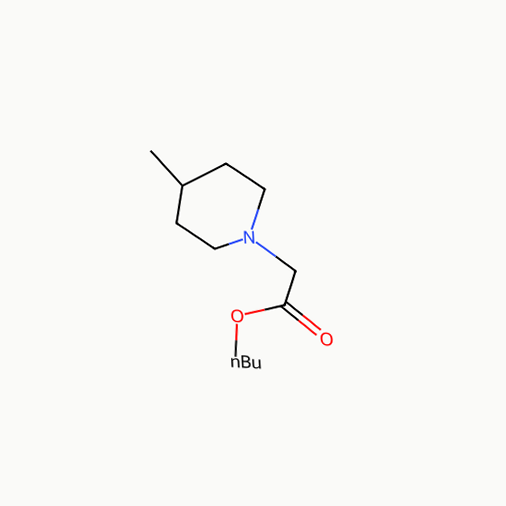 CCCCOC(=O)CN1CCC(C)CC1